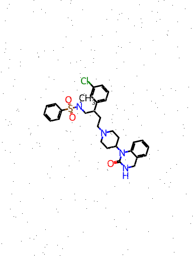 CN(CC(CCN1CCC(N2C(=O)NCc3ccccc32)CC1)c1cccc(Cl)c1)S(=O)(=O)c1ccccc1